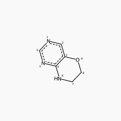 c1ncc2c(n1)NCCO2